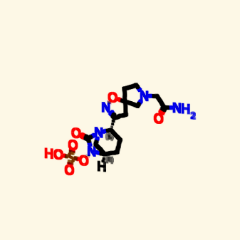 NC(=O)CN1CCC2(CC([C@@H]3CC[C@@H]4CN3C(=O)N4OS(=O)(=O)O)=NO2)C1